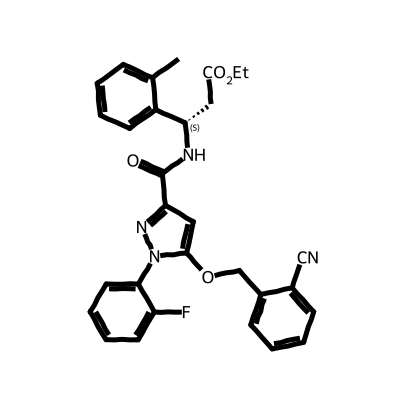 CCOC(=O)C[C@H](NC(=O)c1cc(OCc2ccccc2C#N)n(-c2ccccc2F)n1)c1ccccc1C